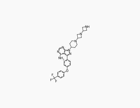 Nc1ncnc2c1c(-c1ccc(Oc3ccc(C(F)(F)F)cc3)cc1)nn2C1CCN(C2CN(C3CNC3)C2)CC1